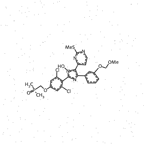 COCOc1cccc(-c2nc(-c3c(Cl)cc(OCP(C)(C)=O)cc3Cl)n(O)c2-c2ccnc(SC)n2)c1